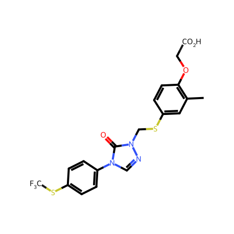 Cc1cc(SCn2ncn(-c3ccc(SC(F)(F)F)cc3)c2=O)ccc1OCC(=O)O